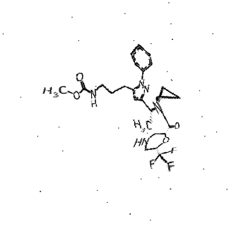 COC(=O)NCCCc1cc([C@@H](C)N(C(=O)[C@H]2CNC[C@@H](C(F)(F)F)O2)C2CC2)nn1-c1ccccc1